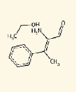 CC(=C(N)C=O)c1ccccc1.CCO